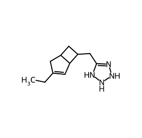 CCC1=CC2C(C1)CC2CC1=NNNN1